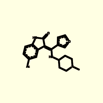 CC(=O)c1ccc2c(c1)C(=C(NC1CCN(C)CC1)c1ccoc1)C(=O)N2